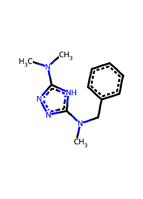 CN(C)c1nnc(N(C)Cc2ccccc2)[nH]1